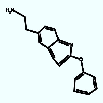 NCCc1ccc2nc(Oc3cc[c]cc3)ccc2c1